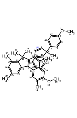 COc1ccc(C(C)(/C=C\c2c3c(c4cc(C)c(OC)cc4c2C)-c2cc(C)cc(C)c2C3(C)C)c2ccccc2)cc1